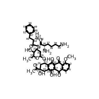 COc1cccc2c1C(=O)c1c(O)c3c(c(O)c1C2=O)C[C@@](O)(C(C)=O)C[C@@H]3OC1CC(N(C(=O)[C@@H](N)CCCCN)C(=O)[C@@H](N)Cc2ccccc2)C(O)C(C)O1